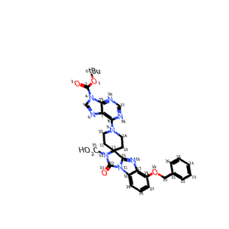 CC(C)(C)OC(=O)n1cnc2c(N3CCC4(CC3)c3nc5c(OCc6ccccc6)cccc5n3C(=O)N4C(=O)O)ncnc21